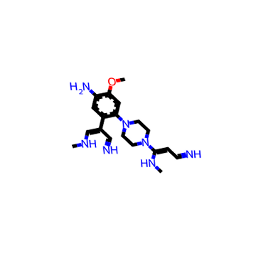 CN/C=C(\C=N)c1cc(N)c(OC)cc1N1CCN(/C(=C/C=N)NC)CC1